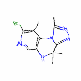 Cc1c(Br)ncc2c1-n1c(C)nnc1C(C)(C)N2